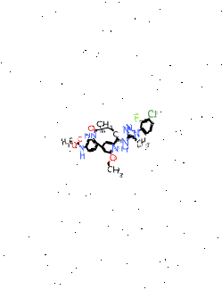 CCOc1cc2cc(n1)[C@@H](Nc1nnn(-c3cccc(Cl)c3F)c1C)CCC[C@@H](C)C(=O)Nc1cc(NC(=O)OC)ccc1-2